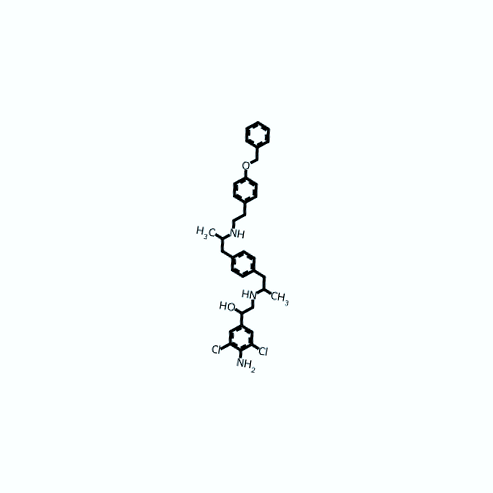 CC(Cc1ccc(CC(C)NCC(O)c2cc(Cl)c(N)c(Cl)c2)cc1)NCCc1ccc(OCc2ccccc2)cc1